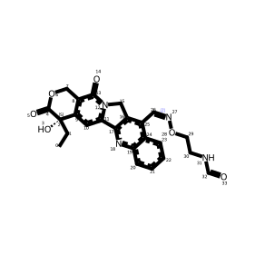 CC[C@@]1(O)C(=O)OCc2c1cc1n(c2=O)Cc2c-1nc1ccccc1c2/C=N\OCCNC=O